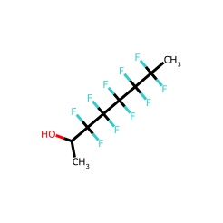 CC(O)C(F)(F)C(F)(F)C(F)(F)C(F)(F)C(C)(F)F